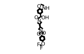 O=C(C(O)c1ccc2c(c1)NCCO2)N1CC(=C2CN(S(=O)(=O)c3ccc(OC(F)F)cc3)C2)C1